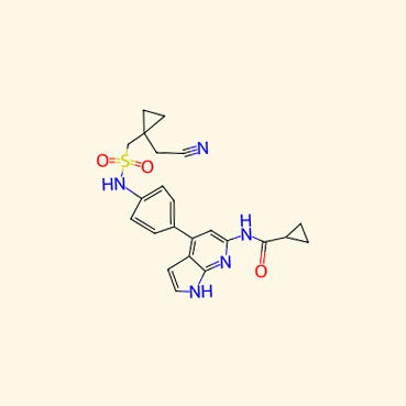 N#CCC1(CS(=O)(=O)Nc2ccc(-c3cc(NC(=O)C4CC4)nc4[nH]ccc34)cc2)CC1